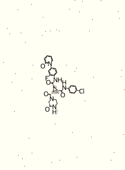 O=C1CN(C(=O)[C@H]2[C@H](C(=O)Nc3ccc(Cl)cc3)[C@@H]2C(=O)Nc2ccc(-n3ccccc3=O)cc2F)CCN1